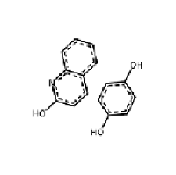 Oc1ccc(O)cc1.Oc1ccc2ccccc2n1